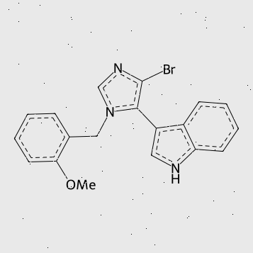 COc1ccccc1Cn1cnc(Br)c1-c1c[nH]c2ccccc12